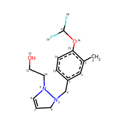 Cc1cc(CN2CC=CN2CCO)ccc1OC(F)F